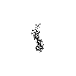 CC(C)(C)CCNC(=O)Nc1ccc(N2CCN(C(=O)c3ccccc3C(F)(F)F)CC2)nn1